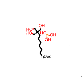 CCCCCCCCCCCCCCCCC(CO)(CO)CO.OP(O)O